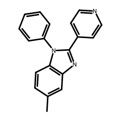 Cc1ccc2c(c1)nc(-c1ccncc1)n2-c1ccccc1